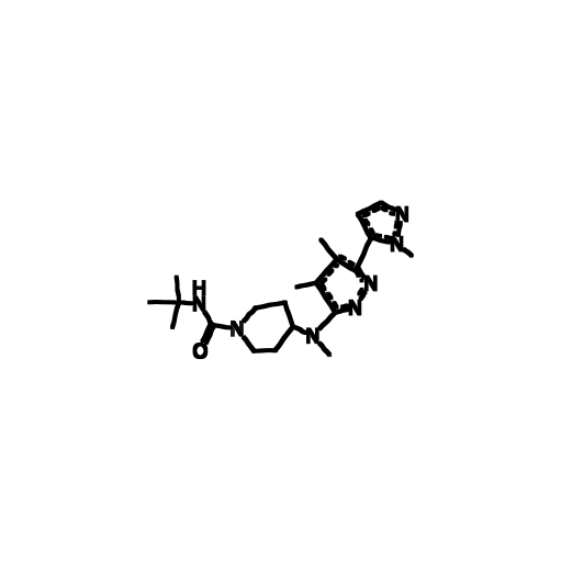 Cc1c(-c2ccnn2C)nnc(N(C)C2CCN(C(=O)NC(C)(C)C)CC2)c1C